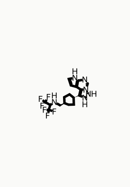 FC(F)(F)C(NC[C@H]1CC[C@H](C2=C3c4cc[nH]c4N=CN3NN2)CC1)C(F)(F)F